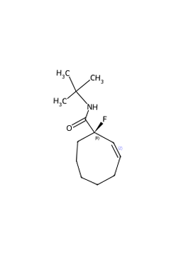 CC(C)(C)NC(=O)[C@]1(F)/C=C\CCCCC1